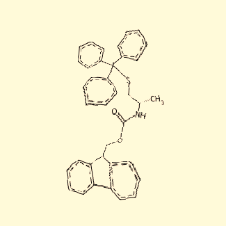 C[C@@H](CSC(c1ccccc1)(c1ccccc1)c1ccccc1)NC(=O)OCC1c2ccccc2-c2ccccc21